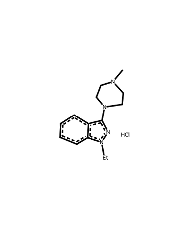 CCn1nc(N2CCN(C)CC2)c2ccccc21.Cl